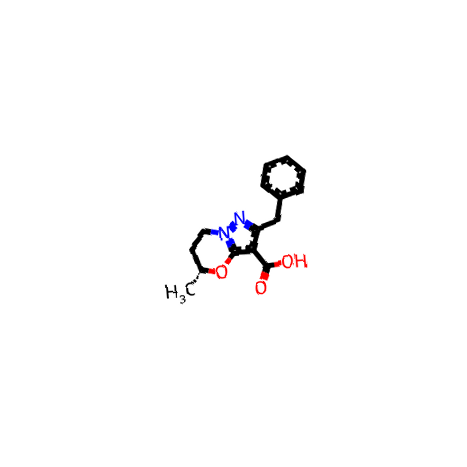 C[C@@H]1CCn2nc(Cc3ccccc3)c(C(=O)O)c2O1